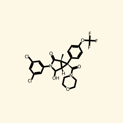 C[C@]12C(=O)N(c3cc(Cl)cc(Cl)c3)C(O)[C@H]1[C@@]2(C(=O)N1CCOCC1)c1ccc(OC(F)(F)F)cc1